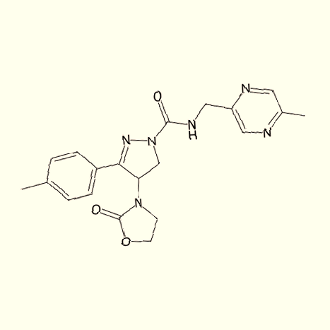 Cc1ccc(C2=NN(C(=O)NCc3cnc(C)cn3)CC2N2CCOC2=O)cc1